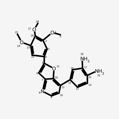 COc1cc(-c2cc3nccc(-c4ccc(N)c(N)c4)c3o2)cc(OC)c1OC